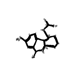 Nc1ccc2c(c1)C(O)Oc1cccc(OC(F)F)c1-2